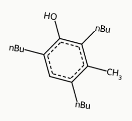 CCCCc1cc(CCCC)c(O)c(CCCC)c1C